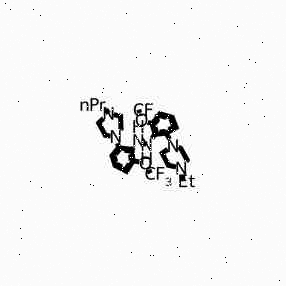 CCCN1CCN(c2cccc(OC(F)(F)F)c2NNc2c(OC(F)(F)F)cccc2N2CCN(CC)CC2)CC1